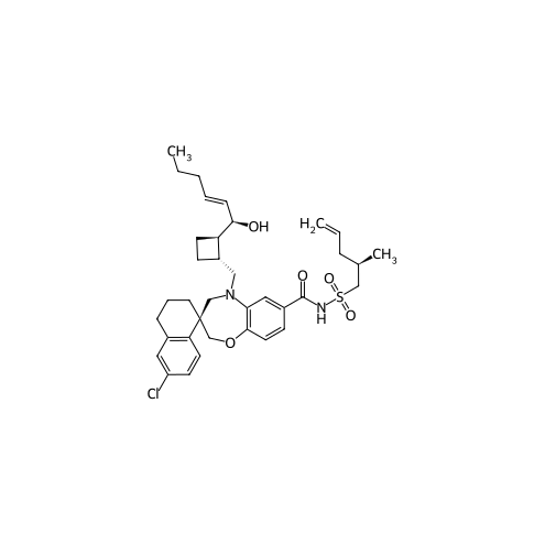 C=CC[C@@H](C)CS(=O)(=O)NC(=O)c1ccc2c(c1)N(C[C@@H]1CC[C@H]1[C@H](O)/C=C/CCC)C[C@@]1(CCCc3cc(Cl)ccc31)CO2